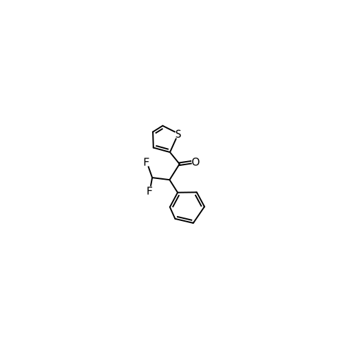 O=C(c1cccs1)C(c1ccccc1)C(F)F